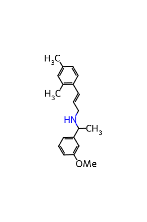 COc1cccc(C(C)NCC=Cc2ccc(C)cc2C)c1